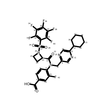 O=C(O)c1ccc(N(Cc2cnc(C3CCCCC3)cn2)C(=O)[C@H]2CCN2S(=O)(=O)c2c(F)c(F)c(F)c(F)c2F)c(F)c1